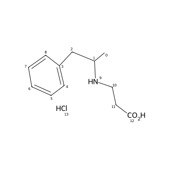 CC(Cc1ccccc1)NCCC(=O)O.Cl